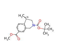 COC(=O)c1ccc2c(c1)CN(C(=O)OC(C)(C)C)C[C@@H]2C